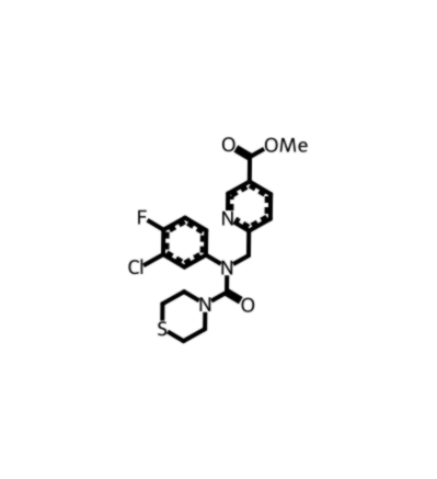 COC(=O)c1ccc(CN(C(=O)N2CCSCC2)c2ccc(F)c(Cl)c2)nc1